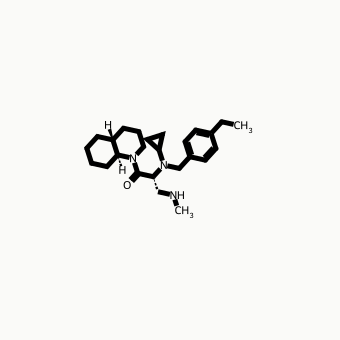 CCc1ccc(CN(C2CC2)[C@H](CNC)C(=O)N2CCC[C@H]3CCCC[C@@H]32)cc1